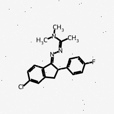 C/C(=N/N=C1/c2ccc(Cl)cc2CC1c1ccc(F)cc1)N(C)C